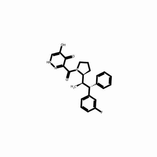 C[C@H]([C@H](c1ccccc1)c1cccc(F)c1)[C@@H]1CCCN1C(=O)c1n[nH]cc(O)c1=O